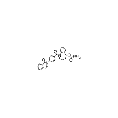 Cc1ccccc1C(=O)Nc1ccc(C(=O)N2CCCC(OC(N)=O)c3ccccc32)cc1